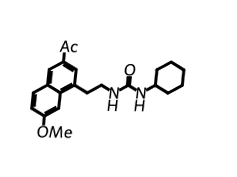 COc1ccc2cc(C(C)=O)cc(CCNC(=O)NC3CCCCC3)c2c1